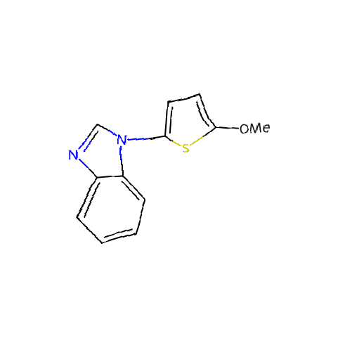 COc1ccc(-n2cnc3ccccc32)s1